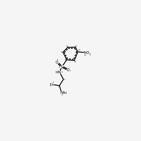 CCCCC(CC)CNS(=O)(=O)c1[c]ccc([N+](=O)[O-])c1